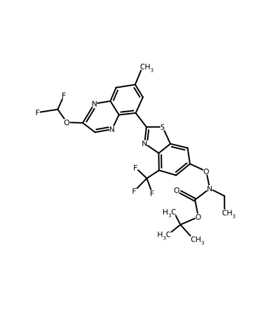 CCN(Oc1cc(C(F)(F)F)c2nc(-c3cc(C)cc4nc(OC(F)F)cnc34)sc2c1)C(=O)OC(C)(C)C